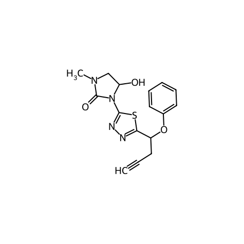 C#CCC(Oc1ccccc1)c1nnc(N2C(=O)N(C)CC2O)s1